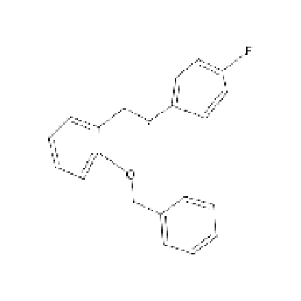 Fc1ccc([CH]Cc2ccccc2OCc2ccccc2)cc1